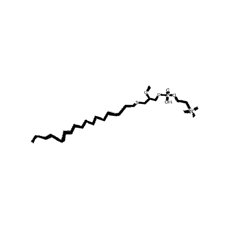 CCCCCCCCCCCCCCCCCSCC(COP(=O)(O)OCC[N+](C)(C)C)OC